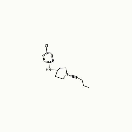 CCCC#CN1CCC(Nc2ccc(Cl)cc2)CC1